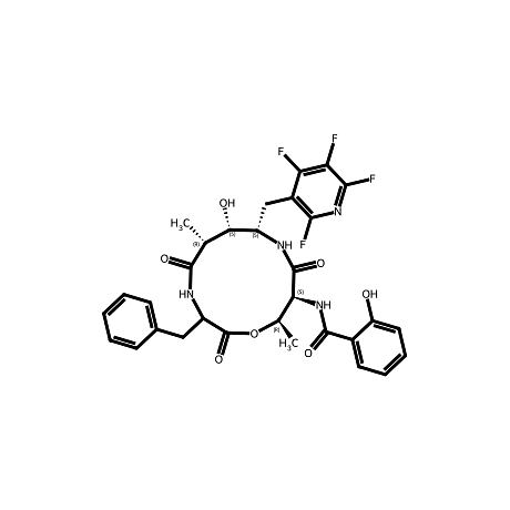 C[C@H]1OC(=O)C(Cc2ccccc2)NC(=O)[C@H](C)[C@H](O)[C@H](Cc2c(F)nc(F)c(F)c2F)NC(=O)[C@H]1NC(=O)c1ccccc1O